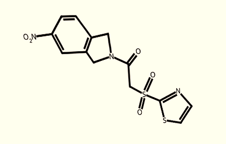 O=C(CS(=O)(=O)c1nccs1)N1Cc2ccc([N+](=O)[O-])cc2C1